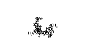 COc1ccc(NC(=C[N+](=O)[O-])Nc2ccc(CC(=O)NC(CC(C)C)C(=O)NC(Cc3ccc(CCC(=O)O)cc3)C(=O)O)cc2)cc1